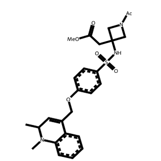 COC(=O)CC1(NS(=O)(=O)c2ccc(OCC3=CC(C)N(C)c4ccccc43)cc2)CN(C(C)=O)C1